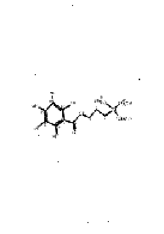 CO[Si](CCCOC(=O)c1c(F)c(F)c(F)c(F)c1F)(OC)OC